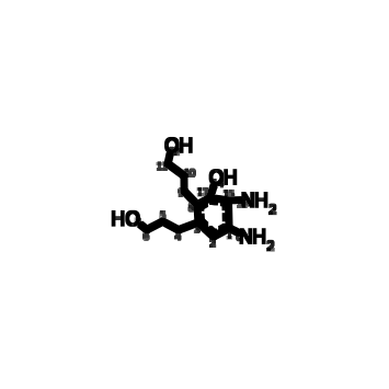 Nc1cc(CCCO)c(CCCO)c(O)c1N